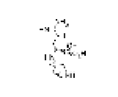 N=C(N)NCC(=O)N[C@H]1CCNC1.O=S(=O)(O)O